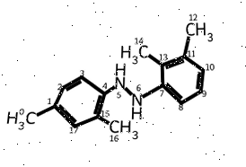 Cc1ccc(NNc2cccc(C)c2C)c(C)c1